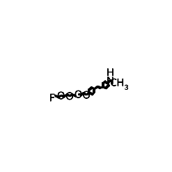 CNc1ccc(C=Cc2ccc(OCCOCCOCCOCCF)cc2)cc1